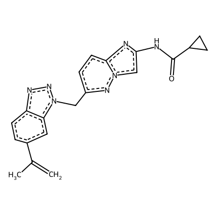 C=C(C)c1ccc2nnn(Cc3ccc4nc(NC(=O)C5CC5)cn4n3)c2c1